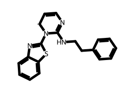 [CH]1C=CN=C(NCCc2ccccc2)N1c1nc2ccccc2s1